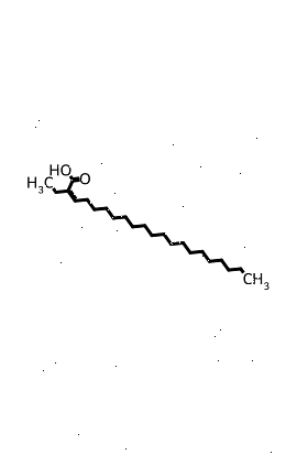 CCCCCCCCCCCCCCCCCC/C=C(/CC)C(=O)O